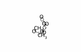 CC(CCC1OC1C)COC(=O)c1ccc(C(=O)OCC2CCC3OC3C2)cc1